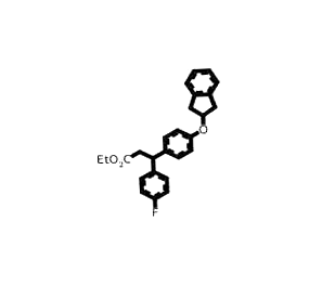 CCOC(=O)CC(c1ccc(F)cc1)c1ccc(OC2Cc3ccccc3C2)cc1